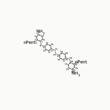 CCCCCc1cc(N)ccc1Cc1ccc(CCc2ccc(Cc3ccc(N)cc3CCCCC)cc2)cc1